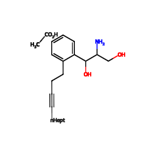 CC(=O)O.CCCCCCCC#CCCc1ccccc1C(O)C(N)CO